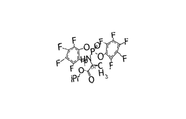 CC(C)OC(=O)[C@H](C)NP(=O)(Oc1c(F)c(F)c(F)c(F)c1F)Oc1c(F)c(F)c(F)c(F)c1F